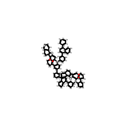 c1ccc(-c2cc(-c3cccc(-c4ccc(-c5cccc(N(c6ccccc6-c6ccccc6)c6cncc7c6oc6c8ccccc8ccc76)c5)c5ccccc45)c3)ccc2N(c2cccc(-c3ccc(-c4ccccc4)c4ccccc34)c2)c2ccc3c(c2)oc2c4ccncc4ccc32)cc1